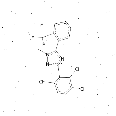 Cn1nc(-c2c(Cl)ccc(Cl)c2Cl)nc1-c1ccccc1C(F)(F)F